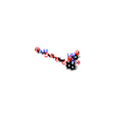 O=CNCCOCCOCCOCCCOCc1ccc2cccc3c2c1C(=O)N(C1CCC(=O)NC1=O)C3=O